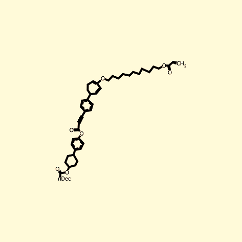 C=CC(=O)OCCCCCCCCCCCOC1=CCCC(c2ccc(C#CC(=O)Oc3ccc(C4CCC(OC(=O)CCCCCCCCCC)CC4)cc3)cc2)C=C1